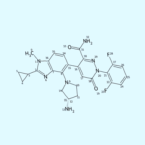 Cn1c(C2CC2)nc2c(N3CC[C@H](N)C3)c(-c3cc(=O)n(-c4c(F)cccc4F)nc3C(N)=O)ccc21